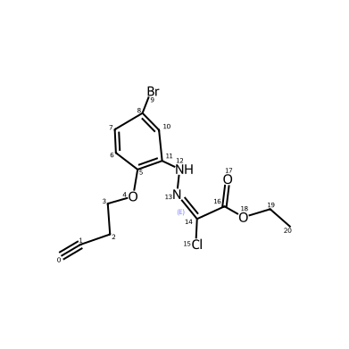 C#CCCOc1ccc(Br)cc1N/N=C(/Cl)C(=O)OCC